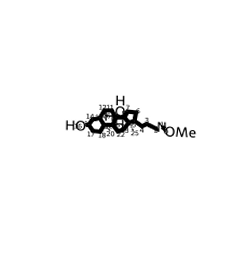 CO/N=C/CCC1CC[C@@]2(O)[C@@H]3CCC4CC(O)CC[C@]4(C)[C@@H]3CC[C@]12C